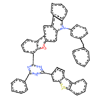 c1ccc(-c2cccc(-n3c4ccccc4c4cc5c(cc43)oc3c(-c4nc(-c6ccccc6)nc(-c6ccc7c(c6)sc6ccccc67)n4)cccc35)c2)cc1